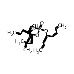 C=C/C=C\C(=C/C=C)OP(=O)(OC(/C=C\C)=C/C=C)OC(/C=C\C)=C/C=C